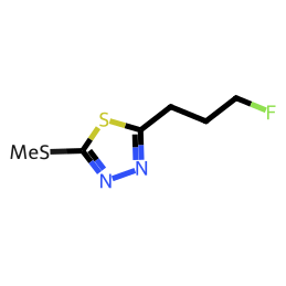 CSc1nnc(CCCF)s1